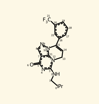 CC(C)CNc1nc(=O)c2cnn3c2n1CC=C3c1cccc(C(F)(F)F)c1